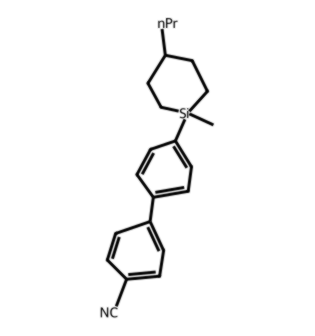 CCCC1CC[Si](C)(c2ccc(-c3ccc(C#N)cc3)cc2)CC1